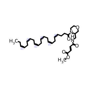 CC/C=C\C/C=C\C/C=C\C/C=C\C/C=C\C/C=C\CCC(=O)N1CCOCC1CNC(=O)C=CC(=O)OC